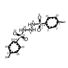 Cc1ccc(S(=O)(=O)NNNS(=O)(=O)c2ccc(C)cc2)cc1